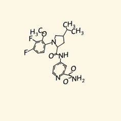 COc1c(N2CC(C(C)C)CC2C(=O)Nc2ccnc(S(N)(=O)=O)c2)ccc(F)c1F